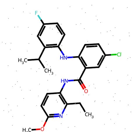 CCc1nc(OC)ccc1NC(=O)c1cc(Cl)ccc1Nc1ccc(F)cc1C(C)C